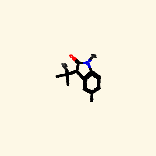 CCN1C(=O)C(C(C)(C)CC)c2cc(C)ccc21